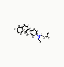 CCN(CCC(C)C)c1ccc2c(c1)Cc1c-2ccc2ccccc12